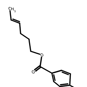 CC=CCCCOC(=O)c1ccc(O)cc1